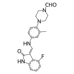 Cc1cc(NC=C2C(=O)Nc3cccc(F)c32)ccc1N1CCN(C=O)CC1